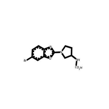 O=C(O)NC1CCN(c2nc3ccc(Br)cc3o2)C1